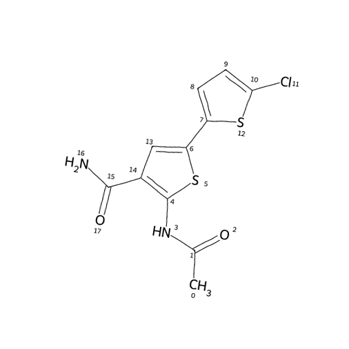 CC(=O)Nc1sc(-c2ccc(Cl)s2)cc1C(N)=O